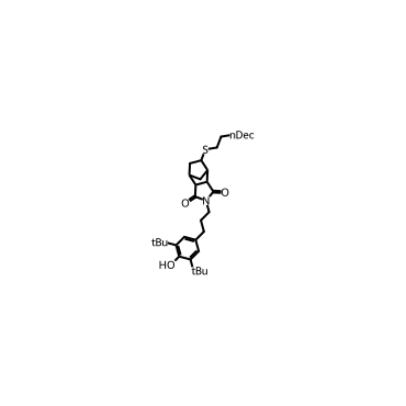 CCCCCCCCCCCCSC1CC2CC1C1C(=O)N(CCCc3cc(C(C)(C)C)c(O)c(C(C)(C)C)c3)C(=O)C21